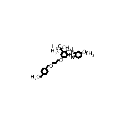 C=Cc1ccc(COCCCOc2cc(-n3nc4ccc(OC)cc4n3)c(O)c(C(C)(C)C)c2)cc1